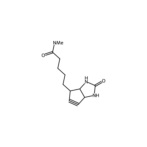 CNC(=O)CCCCC1C#CC2NC(=O)NC12